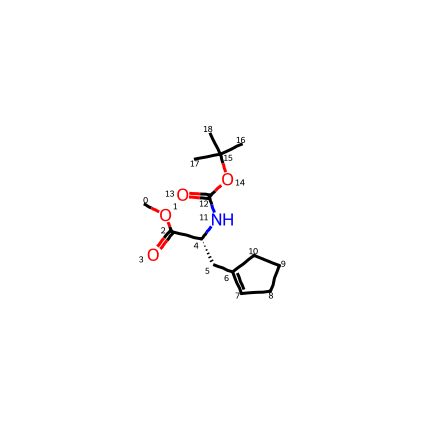 COC(=O)[C@@H](CC1=CCCC1)NC(=O)OC(C)(C)C